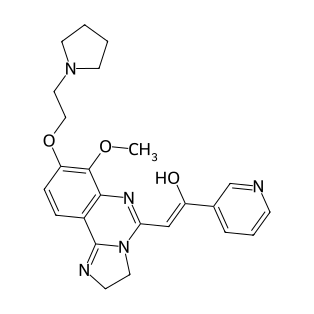 COc1c(OCCN2CCCC2)ccc2c1N=C(/C=C(\O)c1cccnc1)N1CCN=C21